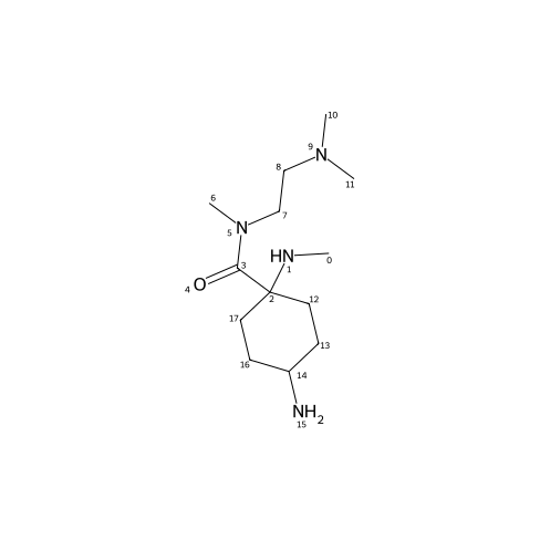 CNC1(C(=O)N(C)CCN(C)C)CCC(N)CC1